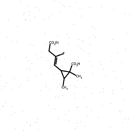 CCOC(=O)CC(F)=CC1C(C)C1(C)C(=O)O